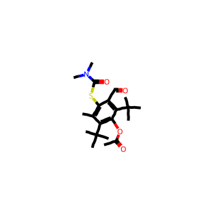 CC(=O)Oc1c(C(C)(C)C)c(C)c(SC(=O)N(C)C)c(C=O)c1C(C)(C)C